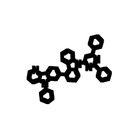 c1ccc(-c2cc(-n3c4ccccc4c4c(-c5ccc6c7ncccc7n(-c7ccccc7)c6c5)cccc43)nc(-c3ccccc3)n2)cc1